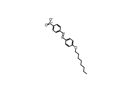 CCCCCCCCOc1ccc(/N=N/c2ccc([N+](=O)[O-])cc2)cc1